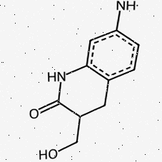 [NH]c1ccc2c(c1)NC(=O)C(CO)C2